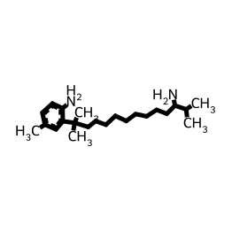 Cc1ccc(N)c(C(C)(C)CCCCCCCCCC(N)C(C)C)c1